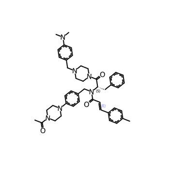 CC(=O)N1CCN(c2ccc(CN(C(=O)/C=C/c3ccc(C)cc3)[C@@H](Cc3ccccc3)C(=O)N3CCN(Cc4ccc(N(C)C)cc4)CC3)cc2)CC1